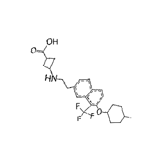 CC1CCC(Oc2ccc3ccc(CCNC4CC(C(=O)O)C4)cc3c2C(F)(F)F)CC1